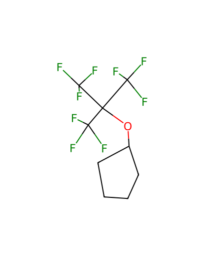 FC(F)(F)C(OC1CCCC1)(C(F)(F)F)C(F)(F)F